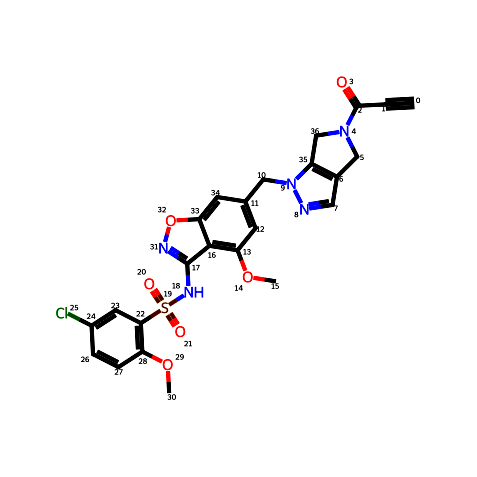 C#CC(=O)N1Cc2cnn(Cc3cc(OC)c4c(NS(=O)(=O)c5cc(Cl)ccc5OC)noc4c3)c2C1